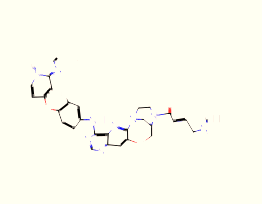 C=C/N=c1/cc(Oc2ccc(Nc3ncnc4cc5c(nc34)N3CCN(C(=O)/C=C/CN(C)C)C(CO5)C3)cc2C)ccn1C